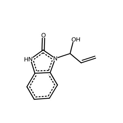 C=CC(O)n1c(=O)[nH]c2ccccc21